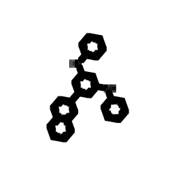 c1ccc(Nc2cc(Nc3ccccc3)cc(-c3ccc4ccccc4c3)c2)cc1